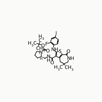 CC1(C)CNC(=O)c2sc(Nc3ccc(I)cc3F)c(C(=O)NC[C@H]3CCCN3C(=O)OC(C)(C)C)c2C1